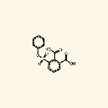 O=C(O)c1cccc(S(=O)(=O)Oc2ccccc2)c1C(=O)O